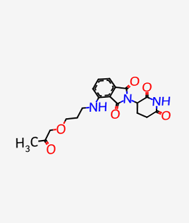 CC(=O)COCCCNc1cccc2c1C(=O)N(C1CCC(=O)NC1=O)C2=O